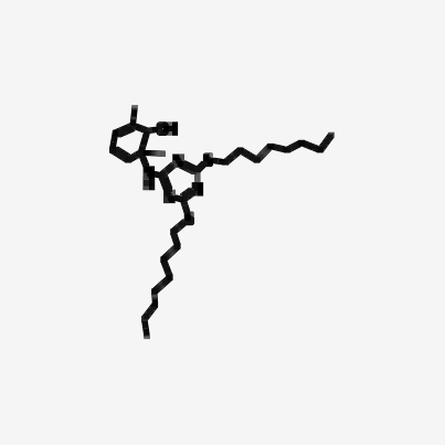 CCCCCCCCSc1nc(NC2(C)C=CC=C(C)C2O)nc(SCCCCCCCC)n1